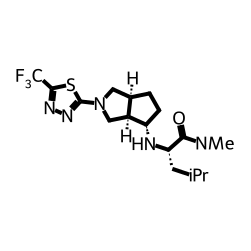 CNC(=O)[C@H](CC(C)C)N[C@H]1CC[C@@H]2CN(c3nnc(C(F)(F)F)s3)C[C@@H]21